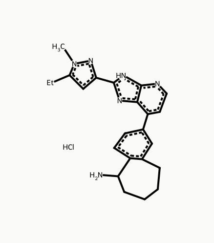 CCc1cc(-c2nc3c(-c4ccc5c(c4)CCCCC5N)ccnc3[nH]2)nn1C.Cl